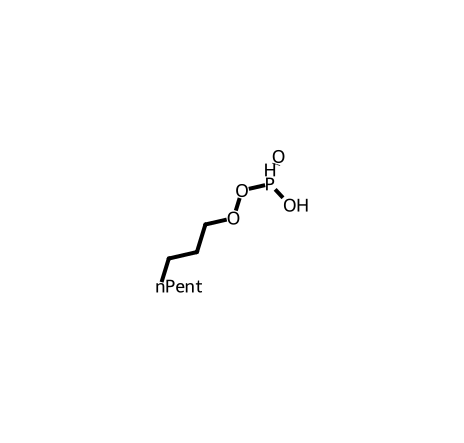 CCCCCCCCOO[PH](=O)O